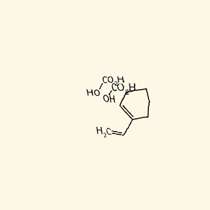 C=CC1=CCCCC1.O=C(O)O.O=C(O)O